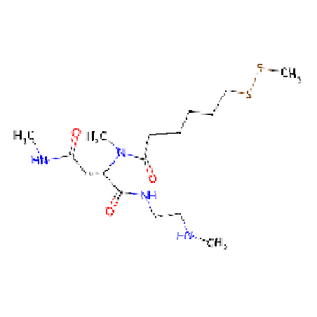 CNCCNC(=O)[C@H](CC(=O)NC)N(C)C(=O)CCCCCSSC